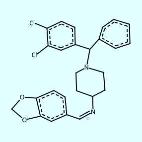 Clc1ccc(C(c2ccccc2)N2CCC(/N=C\c3ccc4c(c3)OCO4)CC2)cc1Cl